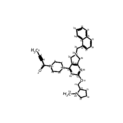 CC#CC(=O)N1CCN(c2nc(OCC3CCCN3C)nc3c2CN(Cc2cccc4ccccc24)C3)CC1